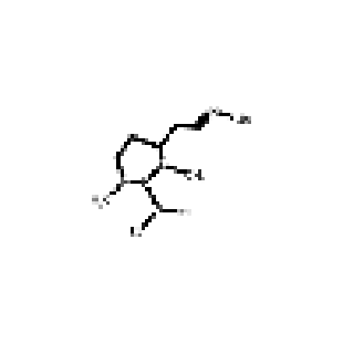 CCN(CC)P1N(C)CCC(CC=NC(C)(C)C)N1C